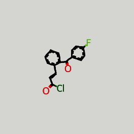 O=C(Cl)C=Cc1ccccc1C(=O)c1ccc(F)cc1